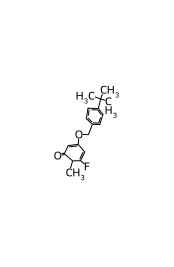 CC1C(=O)C=C(OCc2ccc(C(C)(C)C)cc2)C=C1F